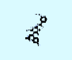 CCC/C(C)=C\C(CC(C)N/C(=N\C(=O)c1cccc(OC)c1)NCC(C)C)c1ccc(Cl)cc1